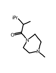 CC(C)C(C)C(=O)N1CCN(C)CC1